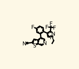 CCn1cc(-c2ccc(F)cc2-c2cncc3sc(C#N)cc23)c(C(F)(F)F)n1